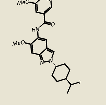 COc1cncc(C(=O)Nc2cc3cn([C@H]4CC[C@H](C(C)I)CC4)nc3cc2OC)c1